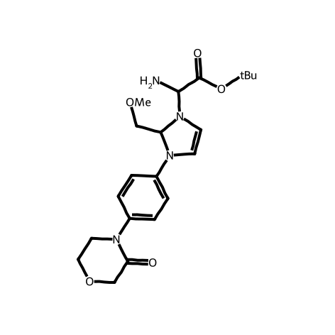 COCC1N(c2ccc(N3CCOCC3=O)cc2)C=CN1C(N)C(=O)OC(C)(C)C